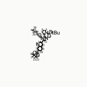 CC(C)(C)OC(=O)N1CCC[C@H]1c1ncc(-c2cnc3cc(B4OC(C)(C)C(C)(C)O4)ccc3c2)n1COCC[Si](C)(C)C